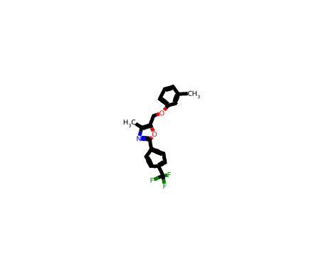 Cc1[c]c(OCc2oc(-c3ccc(C(F)(F)F)cc3)nc2C)ccc1